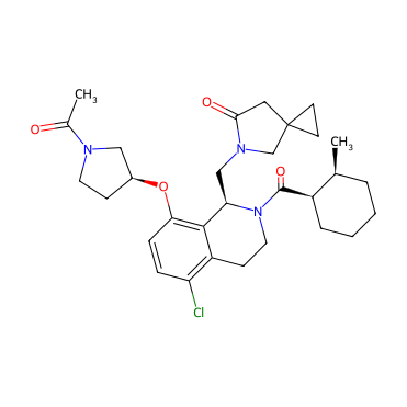 CC(=O)N1CC[C@H](Oc2ccc(Cl)c3c2[C@@H](CN2CC4(CC4)CC2=O)N(C(=O)[C@@H]2CCCC[C@@H]2C)CC3)C1